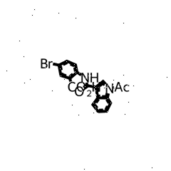 CC(=O)n1cc(C(=O)Nc2ccc(Br)cc2C(=O)O)c2ccccc21